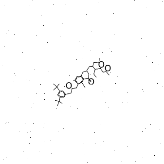 CCCC(CC1CC(=O)c2c(ccc(CC(=O)Cc3cc(C(C)(C)C)cc(C(C)(C)C)c3)c2C)C1)C(CC)C(=O)CC(C)=O